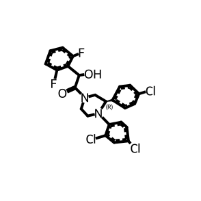 O=C(C(O)c1c(F)cccc1F)N1CCN(c2ccc(Cl)cc2Cl)[C@H](c2ccc(Cl)cc2)C1